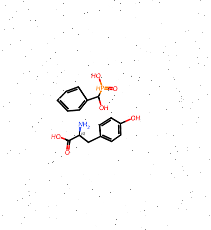 N[C@@H](Cc1ccc(O)cc1)C(=O)O.O=[PH](O)C(O)c1ccccc1